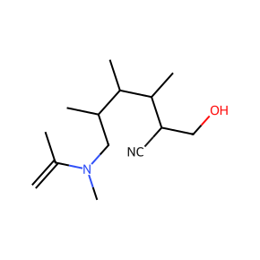 C=C(C)N(C)CC(C)C(C)C(C)C(C#N)CO